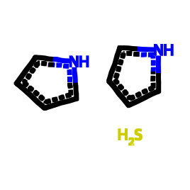 S.c1cc[nH]c1.c1cc[nH]c1